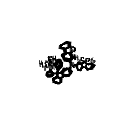 CC1(C)c2ccccc2-c2ccc(N(c3ccc4c(c3)C3(c5ccccc5-4)c4ccccc4[Si](C)(C)c4ccccc43)c3ccc4c(c3)oc3ccccc34)cc21